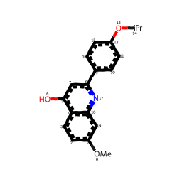 COc1ccc2c(O)cc(-c3ccc(OC(C)C)cc3)nc2c1